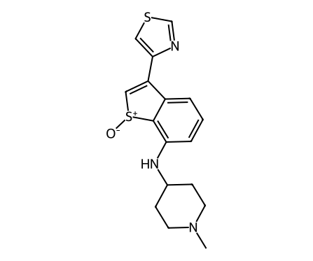 CN1CCC(Nc2cccc3c(-c4cscn4)c[s+]([O-])c23)CC1